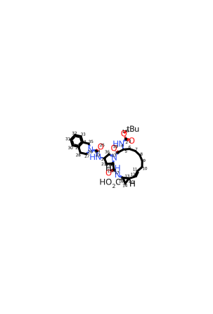 CC(C)(C)OC(=O)N[C@H]1CCCCC/C=C/[C@@H]2C[C@@]2(C(=O)O)NC(=O)[C@@H]2C[C@@H](NC(=O)N3CCc4ccccc4C3)CN2C1=O